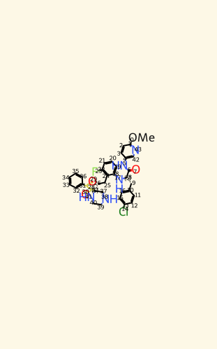 COc1ccc(NC(=O)[C@H](Cc2ccc(Cl)cc2)Nc2cccc(F)c2CC[C@]2(S(=O)(=O)c3ccccc3)CNCCN2)cn1